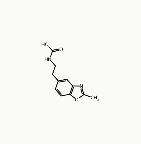 Cc1nc2cc(CCNC(=O)O)ccc2o1